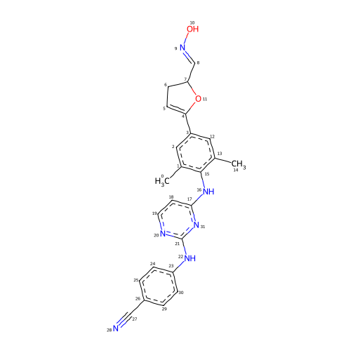 Cc1cc(C2=CCC(/C=N/O)O2)cc(C)c1Nc1ccnc(Nc2ccc(C#N)cc2)n1